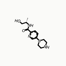 C[C@@H](CO)NC(=O)c1ccc(N2CCNCC2)cn1